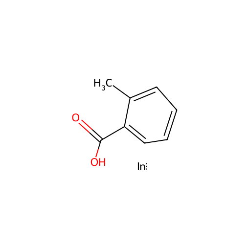 Cc1ccccc1C(=O)O.[In]